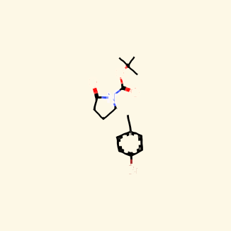 CC(C)(C)OC(=O)N1C(=O)CC[C@H]1Cc1ccc(Br)cc1